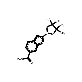 COC(=O)c1ccc2cc(B3OC(C)(C)C(C)(C)O3)sc2c1